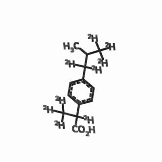 [2H]C([2H])([2H])C(C)C([2H])([2H])c1ccc(C([2H])(C(=O)O)C([2H])([2H])[2H])cc1